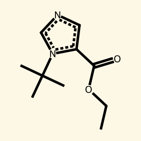 CCOC(=O)c1cncn1C(C)(C)C